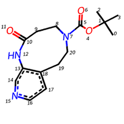 CC(C)(C)OC(=O)N1CCC(=O)Nc2cnccc2CC1